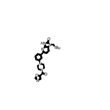 CC(C)(C)Cn1c(=O)[nH]c2nc(-c3cccc(N4CCN(C(=O)c5cnco5)CC4)c3)ccc21